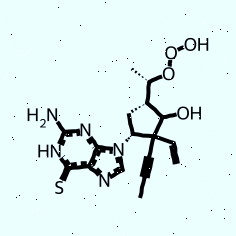 C=CC1(C#CC)C(O)[C@@H]([C@H](C)OOO)C[C@H]1n1cnc2c(=S)[nH]c(N)nc21